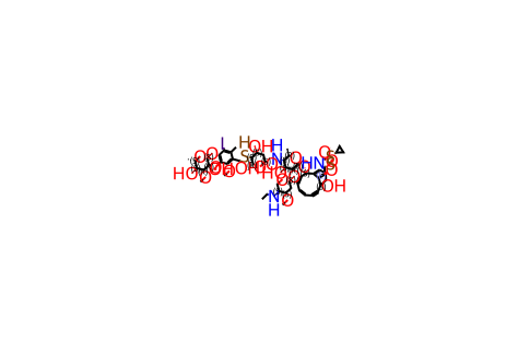 CCN[C@H]1CO[C@@H](O[C@H]2[C@H](O[C@H]3C#CC=CC#C[C@]4(O)CC(=O)C(NC(=O)OC)=C3/C4=C\CSSC3CC3)O[C@H](C)[C@@H](NO[C@H]3C[C@H](O)[C@H]([SH]=C(O)c4c(C)c(I)c(O[C@@H]5O[C@@H](C)[C@H](O)[C@@H](OC)[C@H]5O)c(OC)c4OC)[C@@H](C)O3)[C@@H]2O)C[C@@H]1OC